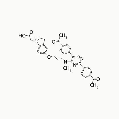 CC(=O)c1ccc(-c2ncc(-c3ccc(C(C)=O)cc3)c(N(C)CCCOc3ccc4c(c3)CC[C@H]4CC(=O)O)n2)cc1